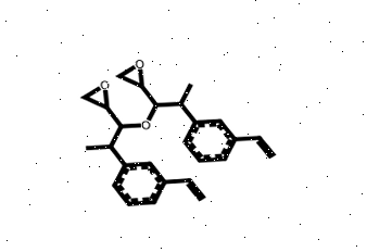 C=Cc1cccc(C(C)C(OC(C2CO2)C(C)c2cccc(C=C)c2)C2CO2)c1